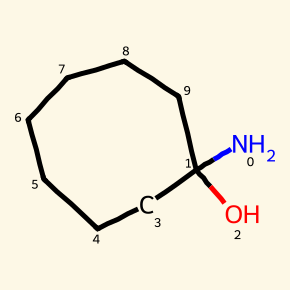 NC1(O)CCCCCCC1